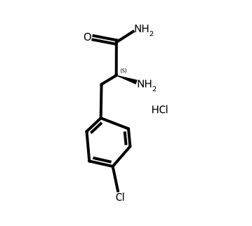 Cl.NC(=O)[C@@H](N)Cc1ccc(Cl)cc1